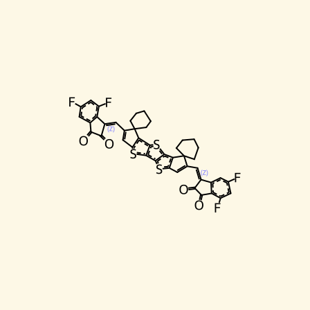 O=C1C(=O)c2c(F)cc(F)cc2/C1=C/C1=Cc2sc3c(sc4c5c(sc43)C=C(/C=C3\C(=O)C(=O)c4cc(F)cc(F)c43)C53CCCCC3)c2C12CCCCC2